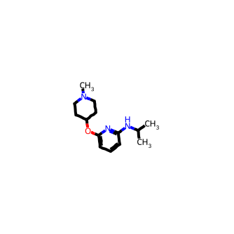 CC(C)Nc1cccc(OC2CCN(C)CC2)n1